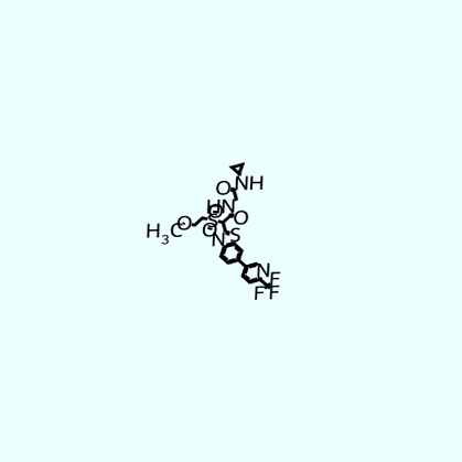 COCCS(=O)(=O)C(C(=O)NCC(=O)NC1CC1)c1nc2ccc(-c3ccc(C(F)(F)F)nc3)cc2s1